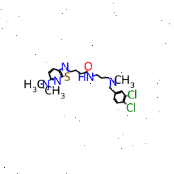 CN(CCCNC(=O)CCc1nc2ccc(N(C)C)nc2s1)Cc1ccc(Cl)c(Cl)c1